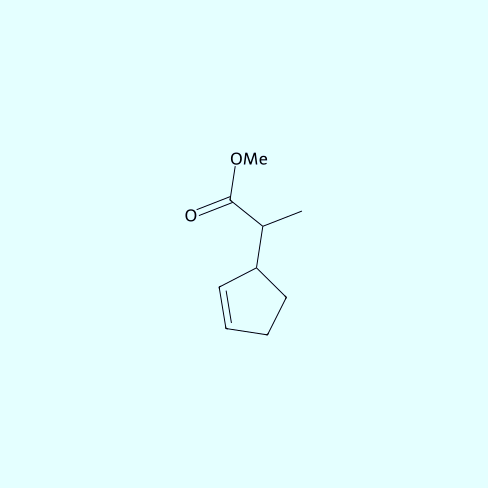 COC(=O)C(C)C1C=CCC1